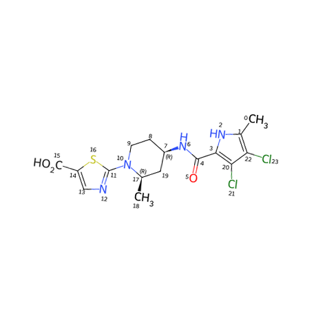 Cc1[nH]c(C(=O)N[C@@H]2CCN(c3ncc(C(=O)O)s3)[C@H](C)C2)c(Cl)c1Cl